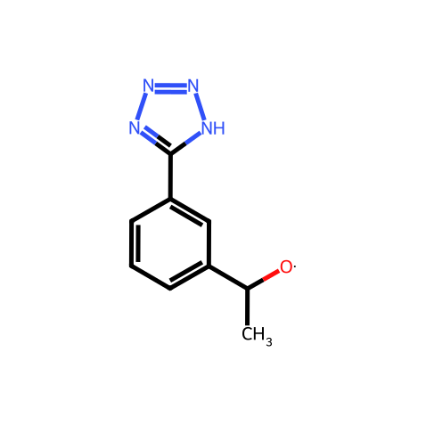 CC([O])c1cccc(-c2nnn[nH]2)c1